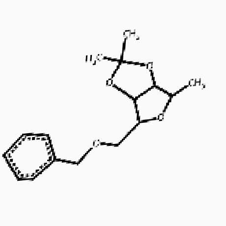 CC1OC(COCc2ccccc2)C2OC(C)(C)OC12